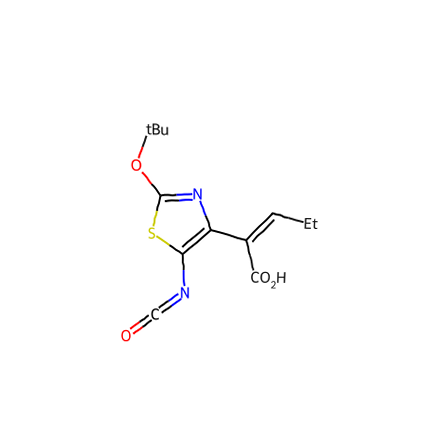 CCC=C(C(=O)O)c1nc(OC(C)(C)C)sc1N=C=O